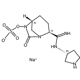 N=C(N[C@@H]1CCNC1)[C@@H]1CC[C@@H]2CN1C(=O)N2OS(=O)(=O)[O-].[Na+]